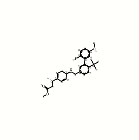 COC(=O)C[C@H](C)C1=CCC(OCc2ccc(C(C)(C)C)c(-c3cc(OC)ccc3F)c2)C=C1